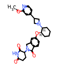 COc1cc(C2CN([C@H]3CCCC[C@H]3Oc3ccc4c(c3)CN(C3CCC(=O)NC3=O)C4=O)C2)ccn1